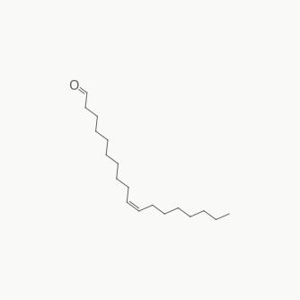 CCCCCCC/C=C\CCCCCCCCC=O